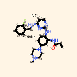 C=CC(=O)Nc1cc(N2CCN(C)CC2)ccc1Nc1ncc(C#N)c(NCc2c(F)cccc2OC)n1